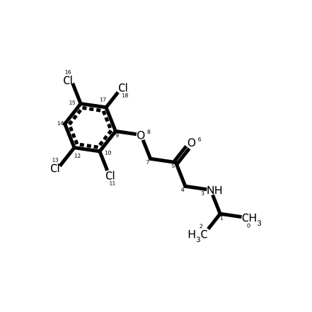 CC(C)NCC(=O)COc1c(Cl)c(Cl)cc(Cl)c1Cl